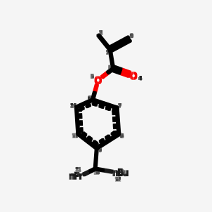 C=C(C)C(=O)Oc1ccc(C(CCC)CCCC)cc1